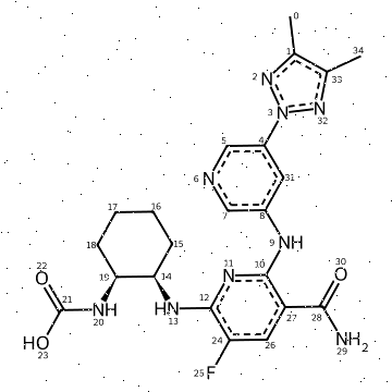 Cc1nn(-c2cncc(Nc3nc(N[C@@H]4CCCC[C@@H]4NC(=O)O)c(F)cc3C(N)=O)c2)nc1C